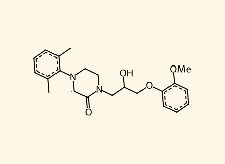 COc1ccccc1OCC(O)CN1CCN(c2c(C)cccc2C)[CH]C1=O